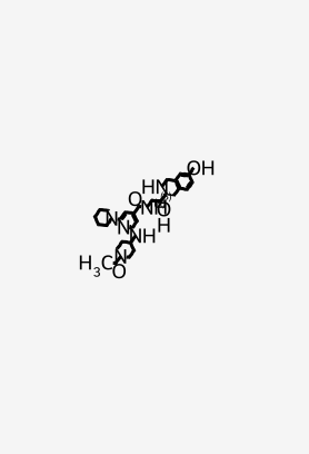 CC(=O)N1CCC(Nc2cc(C(=O)NC[C@@H](O)[C@@H]3Cc4ccc(O)cc4CN3)cc(N3CCCCC3)n2)CC1